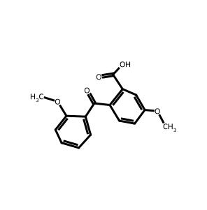 COc1ccc(C(=O)c2ccccc2OC)c(C(=O)O)c1